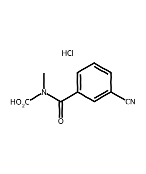 CN(C(=O)O)C(=O)c1cccc(C#N)c1.Cl